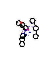 c1ccc(-c2nc(-c3ccc4ccccc4c3)nc(-n3c4ccccc4c4ccc5c6ccccc6n(-c6cc(-c7ccccc7)c7oc8ccccc8c7c6)c5c43)n2)cc1